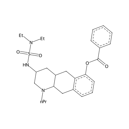 CCCN1CC(NS(=O)(=O)N(CC)CC)CC2Cc3c(cccc3OC(=O)c3ccccc3)CC21